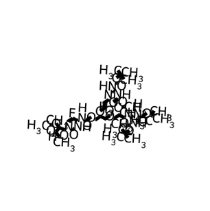 C=C(CCN=C(NC(=O)OC(C)(C)C)NC(=O)OC(C)(C)C)OCC(COC(=O)NC1NC(=O)N([C@@H]2O[C@H](C)[C@@H]3OC(C)(C)OC32)C=C1F)OC(=O)CCN=C(NC(=O)OC(C)(C)C)NC(=O)OC(C)(C)C